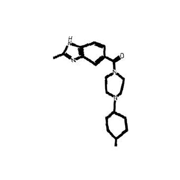 Cc1nc2cc(C(=O)N3CCN(C4CCC(C)CC4)CC3)ccc2[nH]1